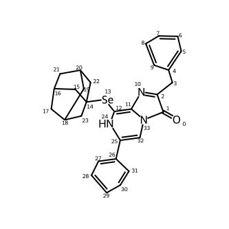 O=c1c(Cc2ccccc2)nc2c([Se]C34CC5CC(CC(C5)C3)C4)[nH]c(-c3ccccc3)cn1-2